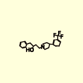 OC(CCN1CCC(c2cccc(C(F)(F)F)c2)CC1)Cc1ccccc1